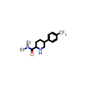 CCN(CC)C(=O)C1CCC(c2ccc(C(F)(F)F)cc2)CN1